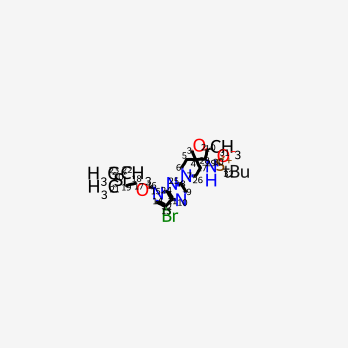 C[C@@H]1OCC2(CCN(c3cnc4c(Br)cn(COCC[Si](C)(C)C)c4n3)CC2)[C@@H]1N[S@+]([O-])C(C)(C)C